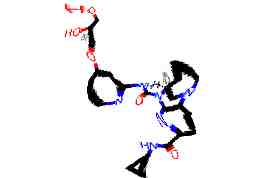 O=C(NC1CC1)c1ccc2c(n1)N(C(=O)Nc1cc(OC[C@@H](O)CO)ccn1)[C@H]1CCN2C1